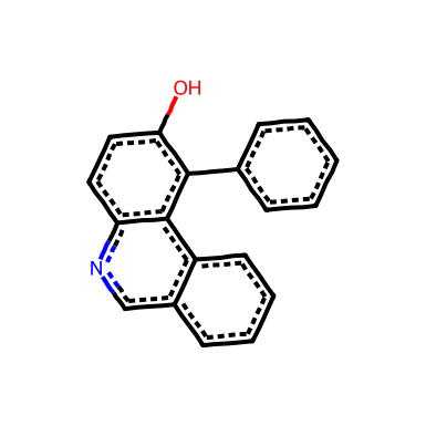 Oc1ccc2ncc3ccccc3c2c1-c1ccccc1